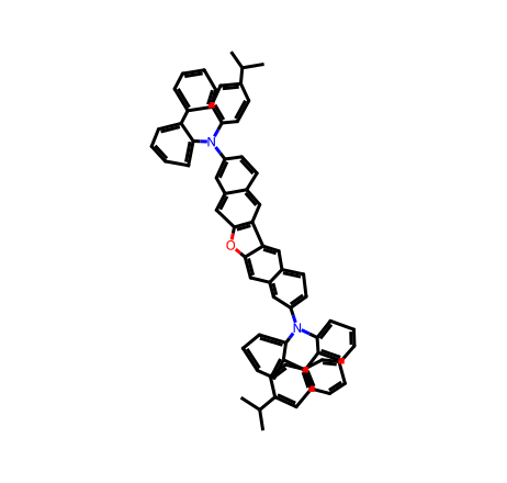 CC(C)c1ccc(-c2ccccc2N(c2ccc3cc4c(cc3c2)oc2cc3cc(N(c5ccc(C(C)C)cc5)c5ccccc5-c5ccccc5)ccc3cc24)c2ccccc2-c2ccccc2)cc1